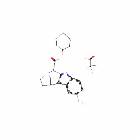 COc1ccc2[nH]c3c(c2c1)C1CCN(C1)C3C(=O)OC1CCCCC1.O=C(O)C(F)(F)F